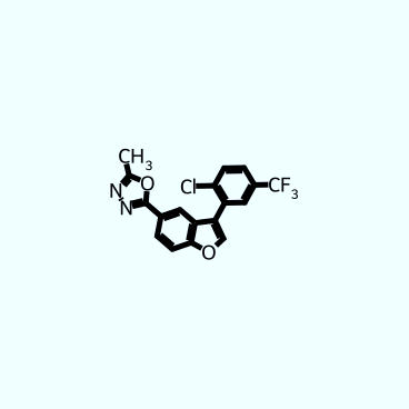 Cc1nnc(-c2ccc3occ(-c4cc(C(F)(F)F)ccc4Cl)c3c2)o1